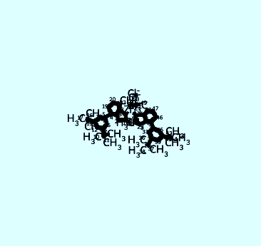 CC1=Cc2c(-c3cc(C(C)(C)C)cc(C(C)(C)C)c3)ccc(C)c2[CH]1[Zr+2]1([CH]2C(C)=Cc3c(-c4cc(C(C)(C)C)cc(C(C)(C)C)c4)ccc(C)c32)[CH2][CH2]1.[Cl-].[Cl-]